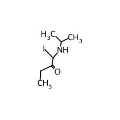 CCC(=O)C(I)NC(C)C